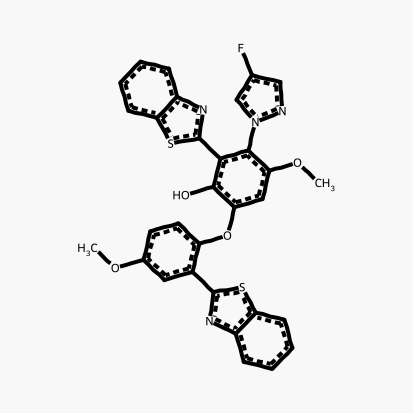 COc1ccc(Oc2cc(OC)c(-n3cc(F)cn3)c(-c3nc4ccccc4s3)c2O)c(-c2nc3ccccc3s2)c1